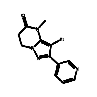 CCc1c(-c2cccnc2)nn2c1N(C)C(=O)CC2